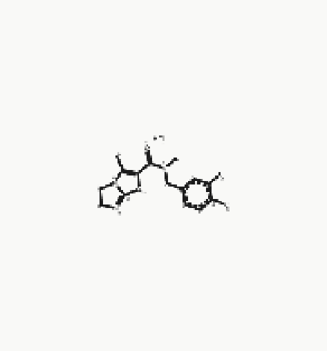 CC1=C(C(=O)N(C)Cc2ccc(Cl)c(Cl)c2)SC2=NCCN21.Cl